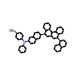 CC(C)(C)c1ccc(N(c2ccccc2)c2ccc3cc(-c4cc5cc(-c6cccc7ccccc67)c6ccccc6c5c5ccccc45)ccc3c2)cc1